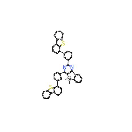 C[Si]1(C)c2ccccc2-c2nc(-c3cccc(-c4cccc5c4sc4ccccc45)c3)nc(-c3cccc(-c4cccc5c4sc4ccccc45)c3)c21